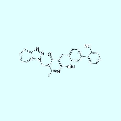 CCCCc1nc(C)n(Cn2nnc3ccccc32)c(=O)c1Cc1ccc(-c2ccccc2C#N)cc1